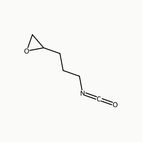 O=C=NCCCC1CO1